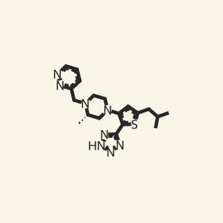 CC(C)Cc1cc(N2CCN(Cc3cccnn3)[C@@H](C)C2)c(-c2nn[nH]n2)s1